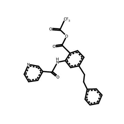 O=C(Nc1cc(CCc2ccccc2)ccc1C(=O)OC(=O)C(F)(F)F)c1cccnc1